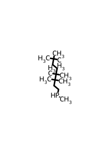 CPCCC(C)(C)C(C)(C)CCC(C)(C)C